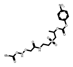 CC(CS(=O)(=O)CCNC(=O)CONOC(=O)C(C)(C)C)OC(=O)Oc1ccc([N+](=O)[O-])cc1